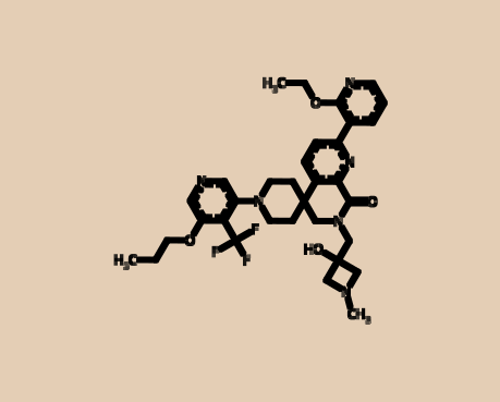 CCCOc1cncc(N2CCC3(CC2)CN(CC2(O)CN(C)C2)C(=O)c2nc(-c4cccnc4OCC)ccc23)c1C(F)(F)F